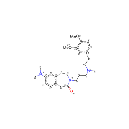 COc1ccc(CCN(C)CCCN2CCc3cc(N(C)C)ccc3CC2=O)cc1OC